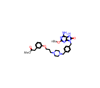 CCCCOc1nc(N)c2[nH]c(=O)n(Cc3ccc(CN4CCN(CCCOc5cccc(CC(=O)OC)c5)CC4)cc3)c2n1